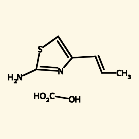 CC=Cc1csc(N)n1.O=C(O)O